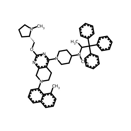 Cc1cccc2cccc(N3CCc4c(nc(OC[C@@H]5CCCN5C)nc4N4CCC(N(C)C(C)C(c5ccccc5)(c5ccccc5)c5ccccc5)CC4)C3)c12